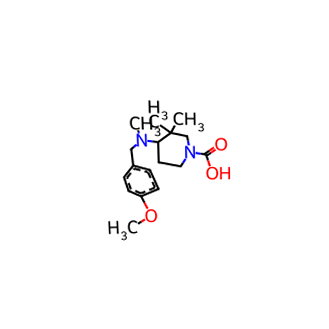 COc1ccc(CN(C)C2CCN(C(=O)O)CC2(C)C)cc1